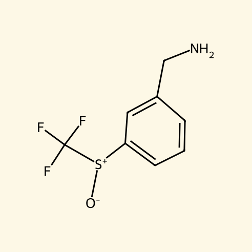 NCc1cccc([S+]([O-])C(F)(F)F)c1